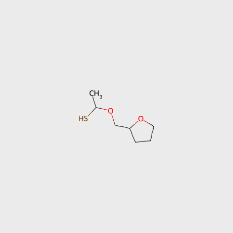 CC(S)OCC1CCCO1